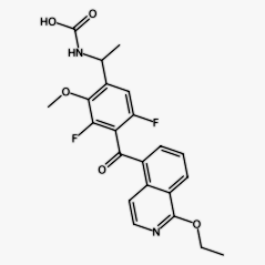 CCOc1nccc2c(C(=O)c3c(F)cc(C(C)NC(=O)O)c(OC)c3F)cccc12